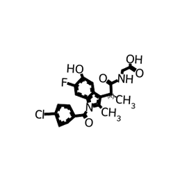 Cc1c([C@@H](C)C(=O)NCC(=O)O)c2cc(O)c(F)cc2n1C(=O)c1ccc(Cl)cc1